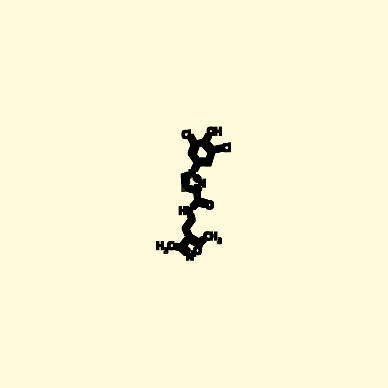 Cc1noc(C)c1CCNC(=O)c1ncn(-c2cc(Cl)c(O)c(Cl)c2)n1